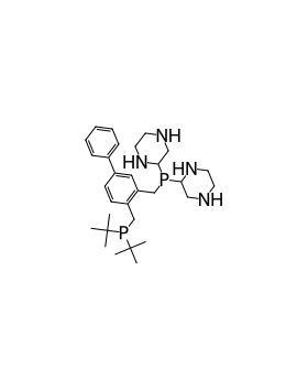 CC(C)(C)P(Cc1ccc(-c2ccccc2)cc1CP(C1CNCCN1)C1CNCCN1)C(C)(C)C